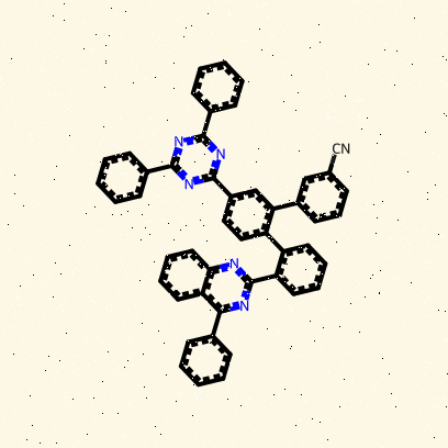 N#Cc1cccc(-c2cc(-c3nc(-c4ccccc4)nc(-c4ccccc4)n3)ccc2-c2ccccc2-c2nc(-c3ccccc3)c3ccccc3n2)c1